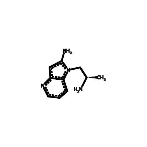 C[C@H](N)Cn1c(N)cc2ncccc21